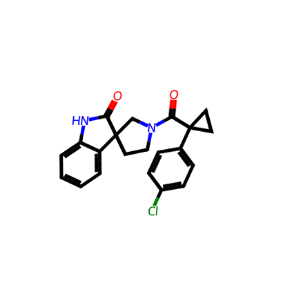 O=C(N1CCC2(C1)C(=O)Nc1ccccc12)C1(c2ccc(Cl)cc2)CC1